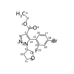 CCOC(=O)c1cnn(C2CCOC2)c1-c1ccc(Br)cc1F